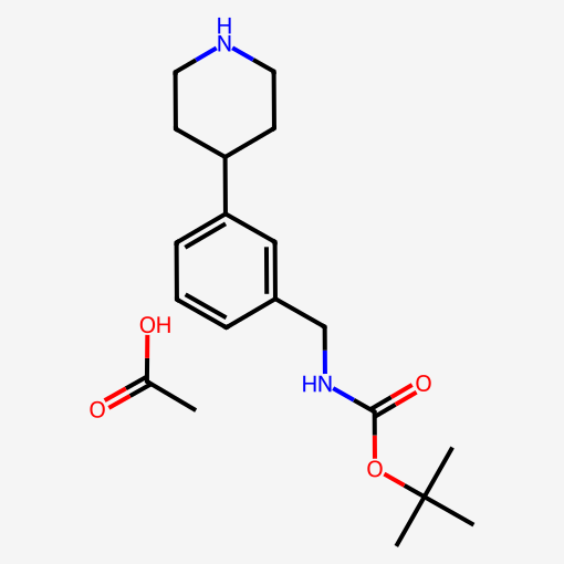 CC(=O)O.CC(C)(C)OC(=O)NCc1cccc(C2CCNCC2)c1